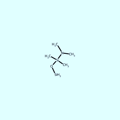 CN(C)[Si](C)(C)O[SiH3]